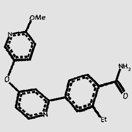 CCc1cc(-c2cc(Oc3ccc(OC)nc3)ccn2)ccc1C(N)=O